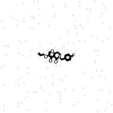 C=CCOc1coc2c(c1=O)C(=O)N(Cc1ccc(F)cc1)CC2